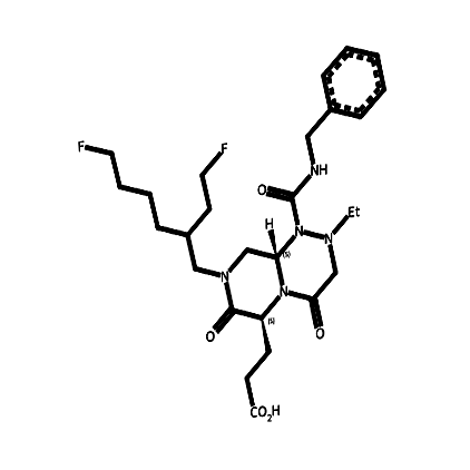 CCN1CC(=O)N2[C@@H](CCC(=O)O)C(=O)N(CC(CCF)CCCCF)C[C@@H]2N1C(=O)NCc1ccccc1